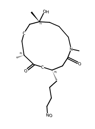 C[C@@H]1CCC[C@](C)(O)CCCN(C)C(=O)C[C@H](CCCCN=O)CC1=O